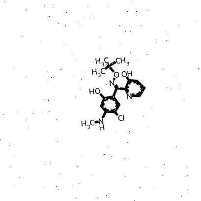 CNc1cc(O)c(C(=NOC(C)(C)C)c2ncccc2O)cc1Cl